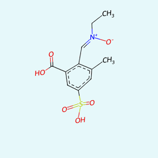 CC[N+]([O-])=Cc1c(C)cc(S(=O)(=O)O)cc1C(=O)O